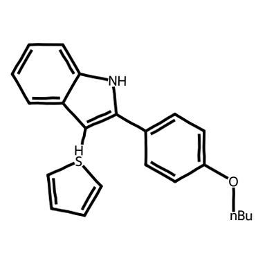 CCCCOc1ccc(-c2[nH]c3ccccc3c2[SH]2C=CC=C2)cc1